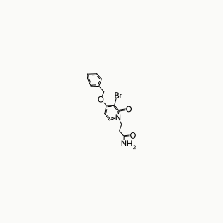 NC(=O)CCn1ccc(OCc2ccccc2)c(Br)c1=O